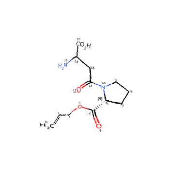 C=CCOC(=O)[C@H]1CCCN1C(=O)CC(N)C(=O)O